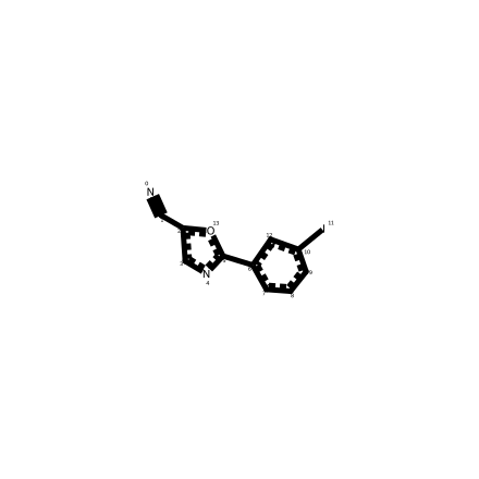 N#Cc1cnc(-c2cccc(I)c2)o1